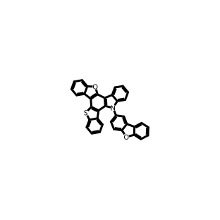 c1ccc2c(c1)oc1ccc(-n3c4ccccc4c4c5oc6ccccc6c5c5sc6ccccc6c5c43)cc12